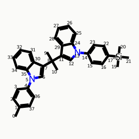 Cc1ccc(-n2cc(C(C)(C)c3cn(-c4ccc([Si](C)(C)C)cc4)c4ccccc34)c3ccccc32)cc1